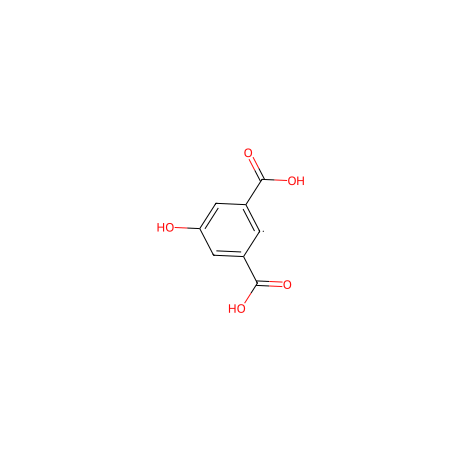 O=C(O)c1[c]c(C(=O)O)cc(O)c1